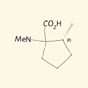 CNC1(C(=O)O)CCC[C@H]1C